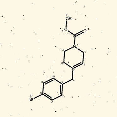 CC(C)(C)OC(=O)N1CC=C(Cc2ccc(Br)cc2)CC1